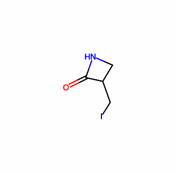 O=C1NCC1CI